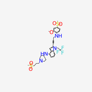 COc1cc(S(C)(=O)=O)ccc1NCC#Cc1cc2c(NC3CCN(CCCS(C)(=O)=O)CC3)cccc2n1CC(F)(F)F